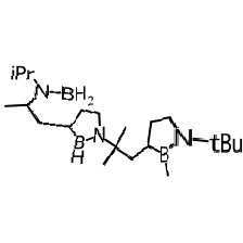 BN(C(C)C)C(C)CC1BN(C(C)(C)CC2CCN(C(C)(C)C)B2C)CC1